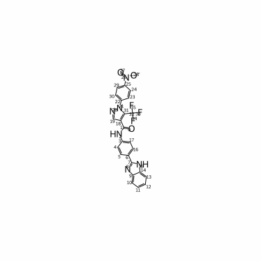 O=C(Nc1ccc(-c2nc3ccccc3[nH]2)cc1)c1cnn(-c2ccc([N+](=O)[O-])cc2)c1C(F)(F)F